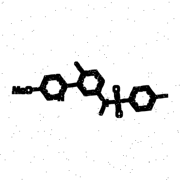 COc1ccc(-c2cc(N(C)S(=O)(=O)c3ccc(C)cc3)ccc2C)nc1